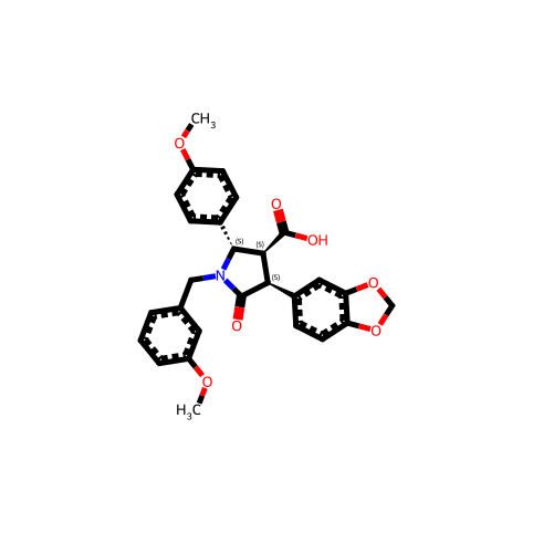 COc1ccc([C@@H]2[C@@H](C(=O)O)[C@@H](c3ccc4c(c3)OCO4)C(=O)N2Cc2cccc(OC)c2)cc1